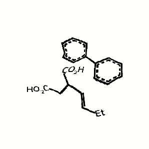 CC/C=C/C(CC(=O)O)C(=O)O.c1ccc(-c2ccccc2)cc1